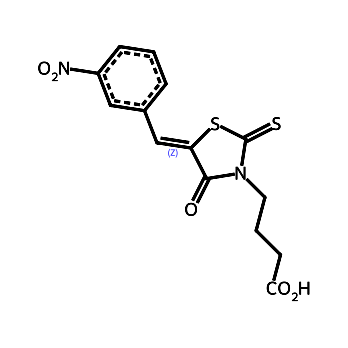 O=C(O)CCCN1C(=O)/C(=C/c2cccc([N+](=O)[O-])c2)SC1=S